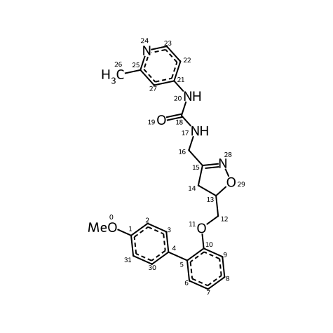 COc1ccc(-c2ccccc2OCC2CC(CNC(=O)Nc3ccnc(C)c3)=NO2)cc1